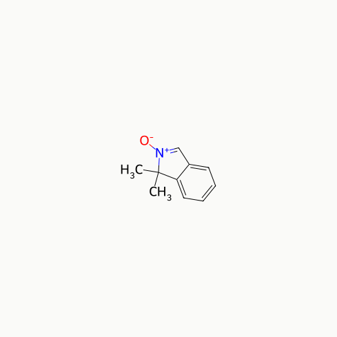 CC1(C)c2ccccc2C=[N+]1[O-]